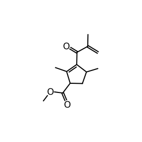 C=C(C)C(=O)C1=C(C)C(C(=O)OC)CC1C